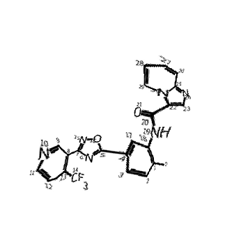 Cc1ccc(-c2nc(-c3cnccc3C(F)(F)F)no2)cc1NC(=O)c1cnc2ccccn12